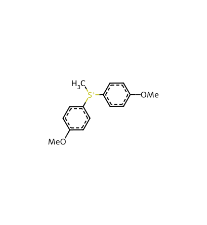 COc1ccc([S+](C)c2ccc(OC)cc2)cc1